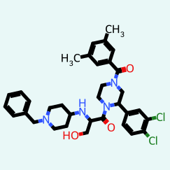 Cc1cc(C)cc(C(=O)N2CCN(C(=O)C(CO)NC3CCN(Cc4ccccc4)CC3)C(c3ccc(Cl)c(Cl)c3)C2)c1